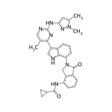 Cc1cnc(Nc2cc(C)n(C)n2)nc1-c1c[nH]c2c(N3Cc4c(NC(=O)C5CC5)cccc4C3=O)cccc12